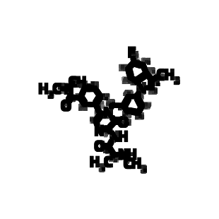 CNC(C)C(=O)Nc1ncc(-c2cccc(C(=O)N(C)C)c2)n(Cc2cccc(-n3cc(C)c4cc(F)ccc43)c2)c1=O